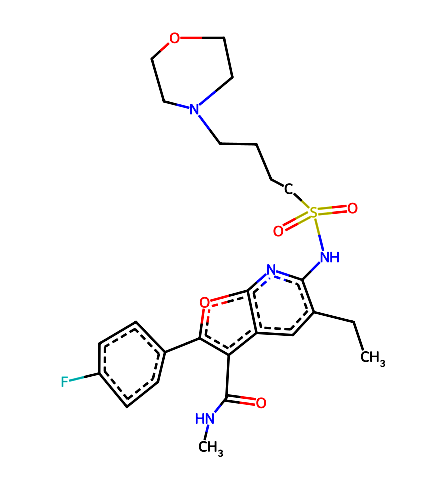 CCc1cc2c(C(=O)NC)c(-c3ccc(F)cc3)oc2nc1NS(=O)(=O)CCCCN1CCOCC1